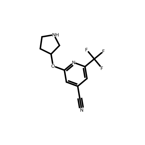 N#Cc1cc(OC2CCNC2)nc(C(F)(F)F)c1